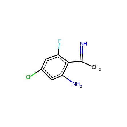 CC(=N)c1c(N)cc(Cl)cc1F